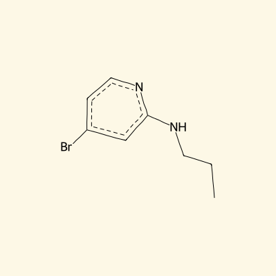 CCCNc1cc(Br)ccn1